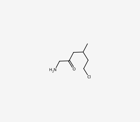 CC(CCCl)CC(=O)CN